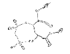 CC(C)OC(=O)C1OS(=O)(=O)CS(=O)(=O)OC1C(=O)OC(C)C